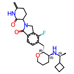 C=C1CCC(N2Cc3c(ccc(C[C@H]4OCCC[C@@H]4N[C@@H](C)C4CCC4)c3F)C2=O)C(=O)N1